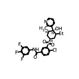 CCC1C[C@@H](S(=O)(=O)c2cc(C(=O)Nc3cc(F)c(F)c(F)c3)ccc2Cl)C[C@H](C)[C@@]1(O)c1cccnc1